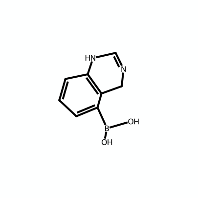 OB(O)c1cccc2c1CN=CN2